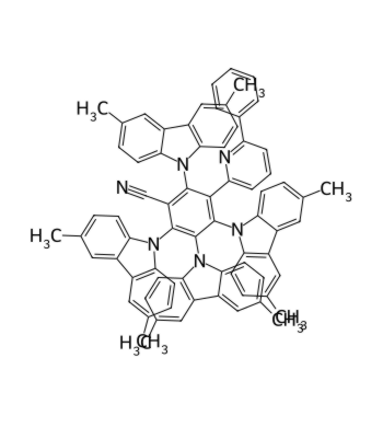 Cc1ccc2c(c1)c1cc(C)ccc1n2-c1c(C#N)c(-n2c3ccc(C)cc3c3cc(C)ccc32)c(-n2c3ccc(C)cc3c3cc(C)ccc32)c(-n2c3ccc(C)cc3c3cc(C)ccc32)c1-c1cccc(-c2ccccc2)n1